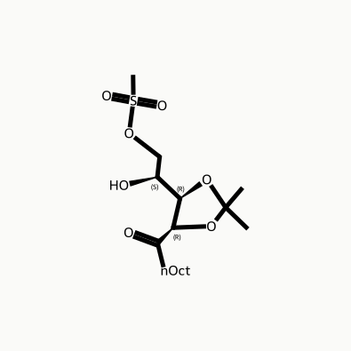 CCCCCCCCC(=O)[C@@H]1OC(C)(C)O[C@@H]1[C@@H](O)COS(C)(=O)=O